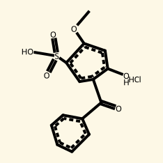 COc1cc(O)c(C(=O)c2ccccc2)cc1S(=O)(=O)O.Cl